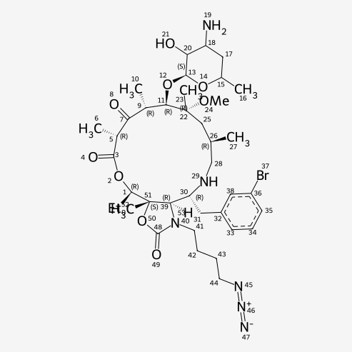 CC[C@H]1OC(=O)[C@H](C)C(=O)[C@H](C)[C@@H](O[C@@H]2OC(C)CC(N)C2O)[C@](C)(OC)C[C@@H](C)CN[C@H](Cc2cccc(Br)c2)[C@H]2N(CCCCN=[N+]=[N-])C(=O)O[C@]12C